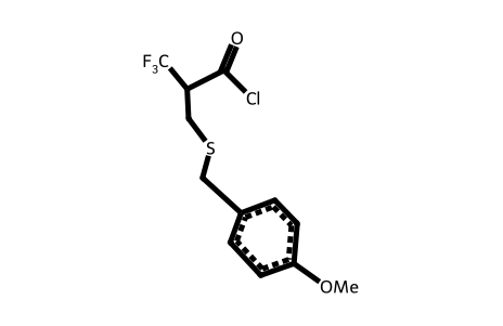 COc1ccc(CSCC(C(=O)Cl)C(F)(F)F)cc1